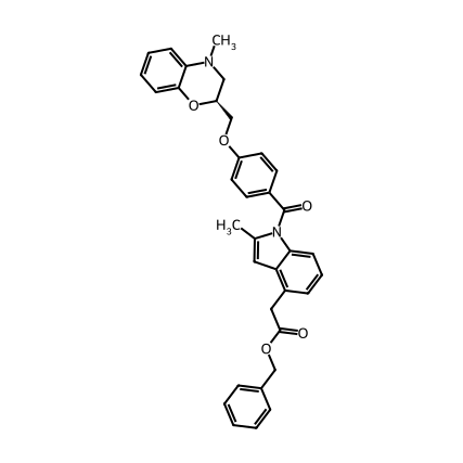 Cc1cc2c(CC(=O)OCc3ccccc3)cccc2n1C(=O)c1ccc(OC[C@@H]2CN(C)c3ccccc3O2)cc1